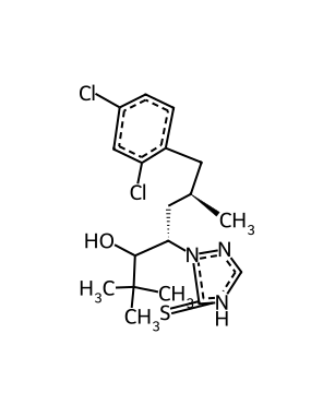 C[C@H](Cc1ccc(Cl)cc1Cl)C[C@@H](C(O)C(C)(C)C)n1nc[nH]c1=S